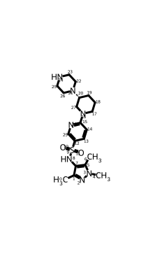 Cc1nn(C)c(C)c1NS(=O)(=O)c1ccc(N2CCC[C@@H](N3CCNCC3)C2)nc1